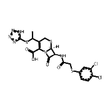 CC(Sc1nnn[nH]1)C1=C(C(=O)O)N2C(=O)C(NC(=O)CSc3ccc(Cl)c(Cl)c3)[C@@H]2SC1